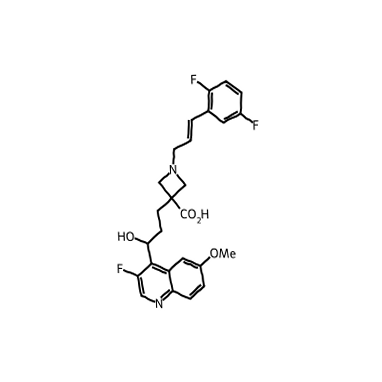 COc1ccc2ncc(F)c(C(O)CCC3(C(=O)O)CN(CC=Cc4cc(F)ccc4F)C3)c2c1